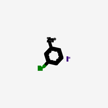 [I-].[Zn+][c]1cccc(Br)c1